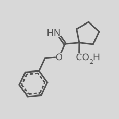 N=C(OCc1ccccc1)C1(C(=O)O)CCCC1